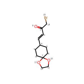 O=C(/C=C/C1CCC2(CC1)OCCO2)CBr